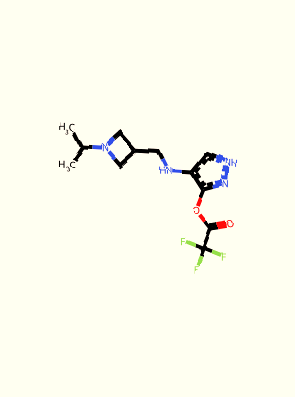 CC(C)N1CC(CNc2c[nH]nc2OC(=O)C(F)(F)F)C1